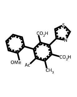 COc1ccccc1-c1c(C(C)=O)c(C)c(C(=O)O)c(-c2cscn2)c1C(=O)O